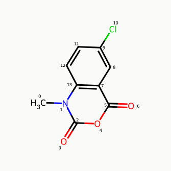 Cn1c(=O)oc(=O)c2cc(Cl)ccc21